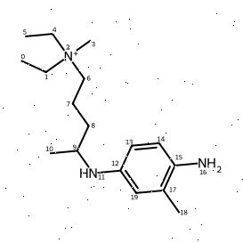 CC[N+](C)(CC)CCCC(C)Nc1ccc(N)c(C)c1